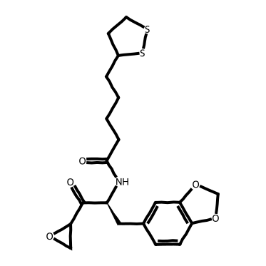 O=C(CCCCC1CCSS1)N[C@@H](Cc1ccc2c(c1)OCO2)C(=O)C1CO1